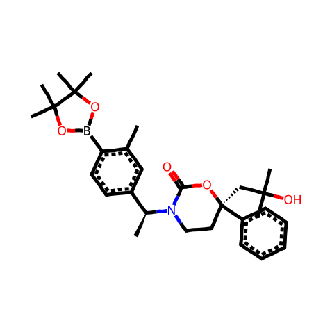 Cc1cc([C@H](C)N2CC[C@](CC(C)(C)O)(c3ccccc3)OC2=O)ccc1B1OC(C)(C)C(C)(C)O1